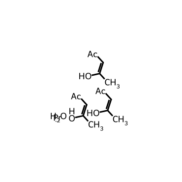 CC(=O)C=C(C)O.CC(=O)C=C(C)O.CC(=O)C=C(C)O.O.[Pr]